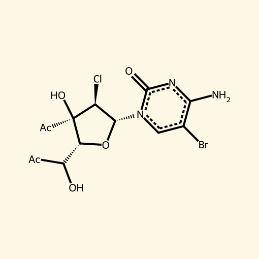 CC(=O)C(O)[C@H]1O[C@@H](n2cc(Br)c(N)nc2=O)[C@H](Cl)[C@@]1(O)C(C)=O